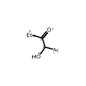 CCC(=O)C(O)C(C)=O